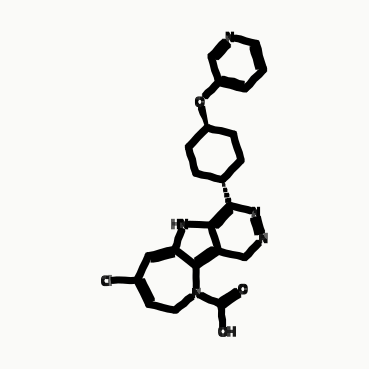 O=C(O)N1CC=C(Cl)C=c2[nH]c3c(c21)CN=NC=3[C@H]1CC[C@H](Oc2cccnc2)CC1